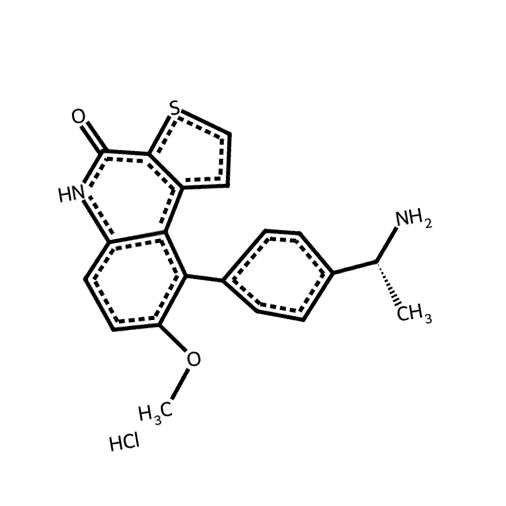 COc1ccc2[nH]c(=O)c3sccc3c2c1-c1ccc([C@@H](C)N)cc1.Cl